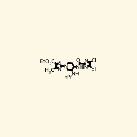 CCCNC1CN(c2nc(C)c(C(=O)OCC)s2)CCC1NC(=O)c1nc(Cl)c(CC)[nH]1